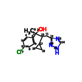 CC(O)(c1ccc(Cl)cc1)C(Cc1nc[nH]n1)C1CC1